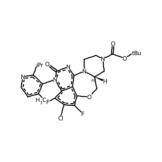 Cc1ccnc(C(C)C)c1-n1c(=O)nc2c3c(c(F)c(Cl)c(F)c31)OC[C@H]1CN(C(=O)OC(C)(C)C)CCN21